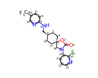 O=C1O[C@]2(CC[C@H](CNc3ccc(C(F)(F)F)cn3)CC2)CN1c1cccnc1F